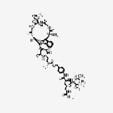 CC[C@H](C)[C@@H]1NC(=O)CNC(=O)[C@@H](N)Cc2c3[nH]c4cc(ccc24)OC2C(=O)N(CCN(C)C(=O)OCc4ccc(NC(=O)[C@H](CCCNC(N)=O)NC(=O)[C@@H](NC(C)C)C(C)C)cc4)NC(=O)C[C@@H]2NC(=O)[C@H](CS3)NC(=O)CNC1=O